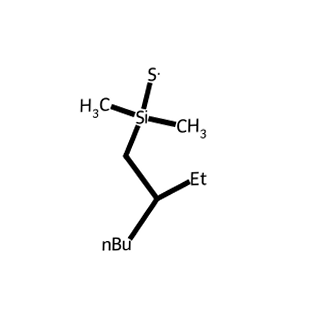 CCCCC(CC)C[Si](C)(C)[S]